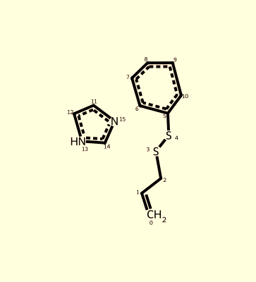 C=CCSSc1ccccc1.c1c[nH]cn1